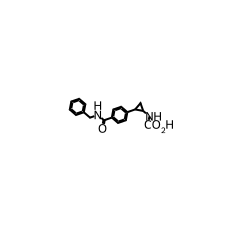 O=C(O)NC1CC1c1ccc(C(=O)NCc2ccccc2)cc1